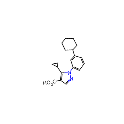 O=C(O)c1cnn(-c2cccc(C3CCCCC3)c2)c1C1CC1